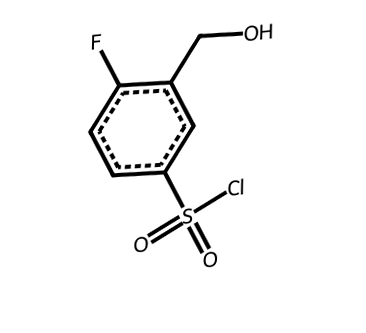 O=S(=O)(Cl)c1ccc(F)c(CO)c1